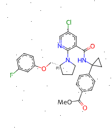 COC(=O)c1ccc(C2(NC(=O)c3cc(Cl)cnc3N3CCC[C@@H]3COc3cccc(F)c3)CC2)cc1